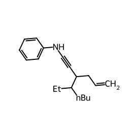 C=CCC(C#CNc1ccccc1)C(CC)CCCC